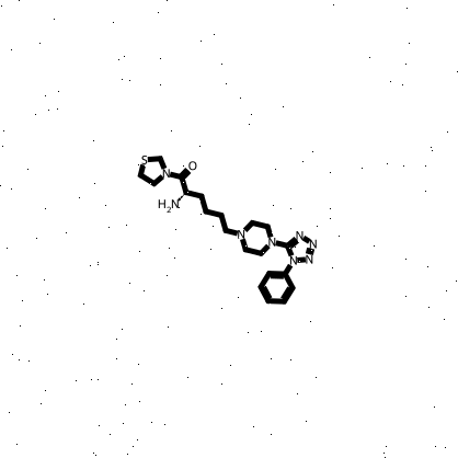 N[C@@H](CCCCN1CCN(c2nnnn2-c2ccccc2)CC1)C(=O)N1CCSC1